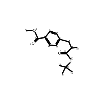 COC(=O)c1ccc(CC(C)C(=O)OC(C)(C)C)cc1